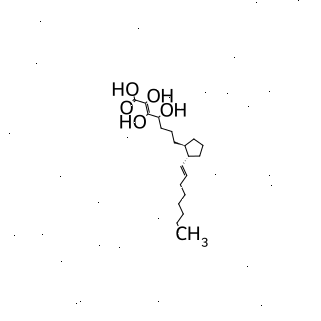 CCCCCC/C=C/[C@H]1CCC[C@@H]1CCCC(O)/C(O)=C(\O)C(=O)O